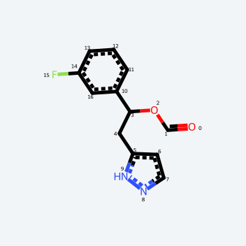 O=COC(Cc1ccn[nH]1)c1cccc(F)c1